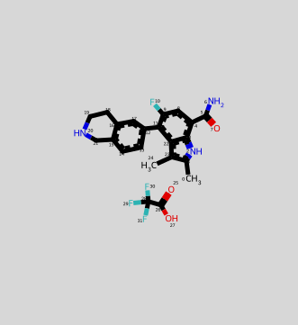 Cc1[nH]c2c(C(N)=O)cc(F)c(-c3ccc4c(c3)CCNC4)c2c1C.O=C(O)C(F)(F)F